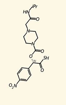 CC(C)NC(=O)CN1CCN(C(=O)O[C@H](C(=O)S)c2ccc([N+](=O)[O-])cc2)CC1